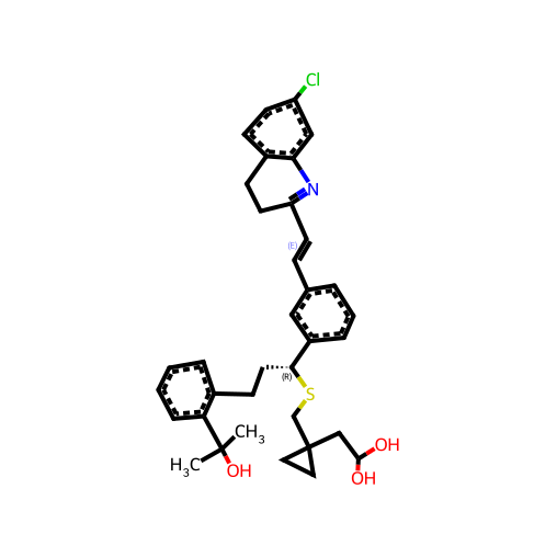 CC(C)(O)c1ccccc1CC[C@@H](SCC1(CC(O)O)CC1)c1cccc(/C=C/C2=Nc3cc(Cl)ccc3CC2)c1